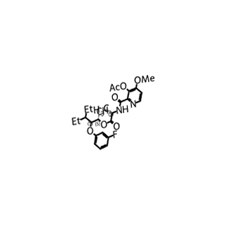 CCC(CC)[C@H](Oc1cccc(F)c1)[C@H](C)OC(=O)[C@H](C)NC(=O)c1nccc(OC)c1OC(C)=O